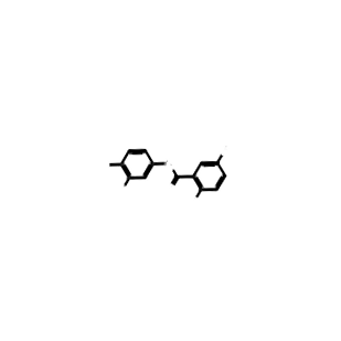 CC(=O)c1ccc(F)c(C(=O)Nc2ccc(F)c(F)c2)c1